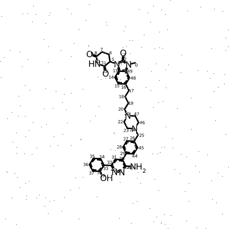 Cn1c(=O)n(C2CCC(=O)NC2=O)c2ccc(CCCCN3CCN(Cc4ccc(-c5cc(-c6ccccc6O)nnc5N)cc4)CC3)cc21